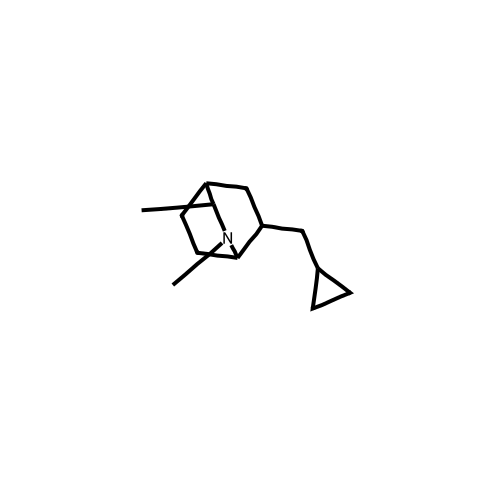 CC1C2CCC(C(CC3CC3)C2)N1C